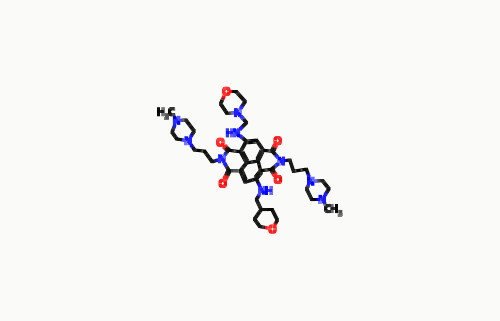 CN1CCN(CCCN2C(=O)c3cc(NCN4CCOCC4)c4c5c(cc(NCC6CCOCC6)c(c35)C2=O)C(=O)N(CCCN2CCN(C)CC2)C4=O)CC1